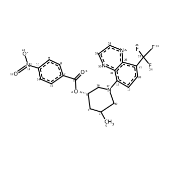 CC1C[C@H](OC(=O)c2ccc([N+](=O)[O-])cc2)CN(c2ccc(C(F)(F)F)c3nccnc23)C1